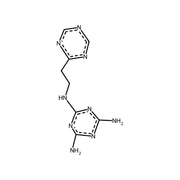 Nc1nc(N)nc(NCCc2ncncn2)n1